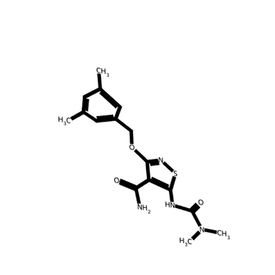 Cc1cc(C)cc(COc2nsc(NC(=O)N(C)C)c2C(N)=O)c1